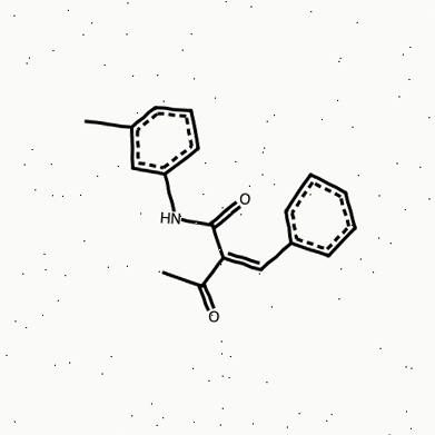 CC(=O)C(=Cc1ccccc1)C(=O)Nc1cccc(C)c1